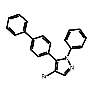 Brc1cnn(-c2ccccc2)c1-c1ccc(-c2ccccc2)cc1